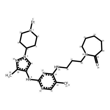 CCN1CCC(n2cc(Nc3ncc(C(F)(F)F)c(NCCCN4CCCCCC4=O)n3)c(C)n2)CC1